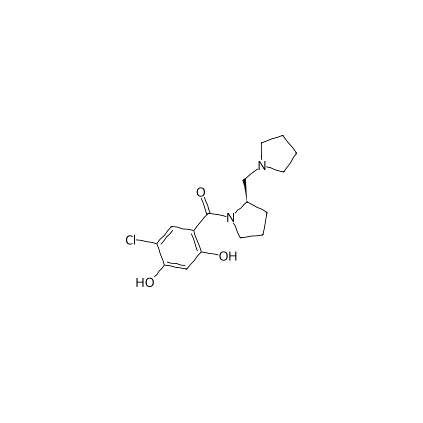 O=C(c1cc(Cl)c(O)cc1O)N1CCC[C@@H]1CN1CCCC1